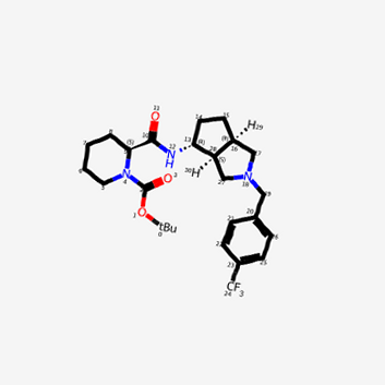 CC(C)(C)OC(=O)N1CCCC[C@H]1C(=O)N[C@@H]1CC[C@H]2CN(Cc3ccc(C(F)(F)F)cc3)C[C@H]21